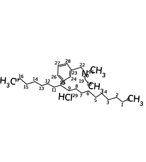 CCCCCCCCCCCCCCCCCC.CCN(C)Cc1ccccc1.Cl